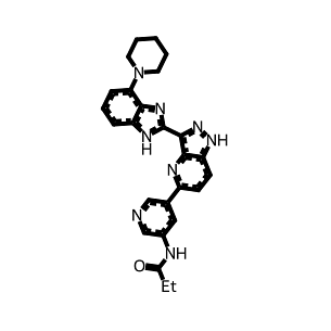 CCC(=O)Nc1cncc(-c2ccc3[nH]nc(-c4nc5c(N6CCCCC6)cccc5[nH]4)c3n2)c1